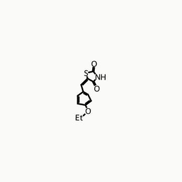 CCOc1ccc(C=C2SC(=O)NC2=O)cc1